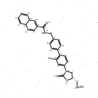 CC(=O)NC[C@H]1CN(c2ccc(-c3ccc(CNC(=O)C4=CC5C=CC=CC5N=C4)cc3)c(F)c2)C(=O)O1